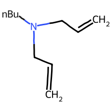 [CH2]CCCN(CC=C)CC=C